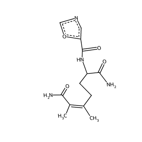 CC(CCC(NC(=O)c1cnco1)C(N)=O)=C(C)C(N)=O